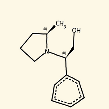 C[C@@H]1CCCN1[C@@H](CO)c1ccccc1